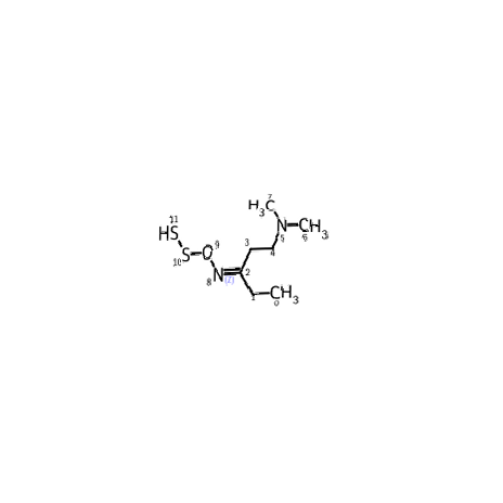 CC/C(CCN(C)C)=N/OSS